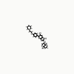 Clc1cc2[nH]c(O[C@@H]3CO[C@@H]4CCO[C@@H]43)nc2nc1-c1ccc(OCCN2CCCCC2)cc1